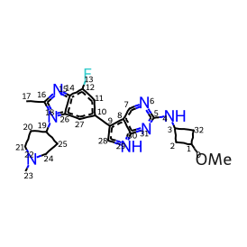 COC1CC(Nc2ncc3c(-c4cc(F)c5nc(C)n(C6CCN(C)CC6)c5c4)c[nH]c3n2)C1